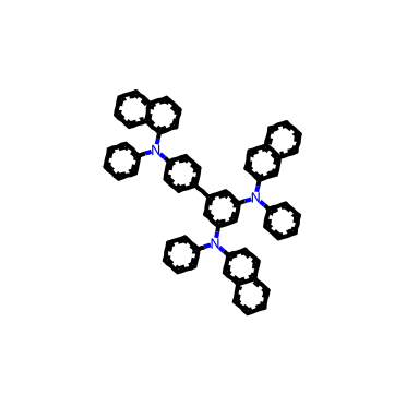 c1ccc(N(c2cc(-c3ccc(N(c4ccccc4)c4cccc5ccccc45)cc3)cc(N(c3ccccc3)c3ccc4ccccc4c3)c2)c2ccc3ccccc3c2)cc1